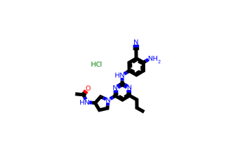 CCCc1cc(N2CCC(NC(C)=O)C2)nc(Nc2ccc(N)c(C#N)c2)n1.Cl